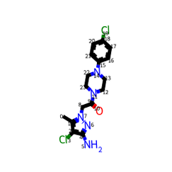 Cc1c(Cl)c(N)nn1CC(=O)N1CCN(c2ccc(Cl)cc2)CC1